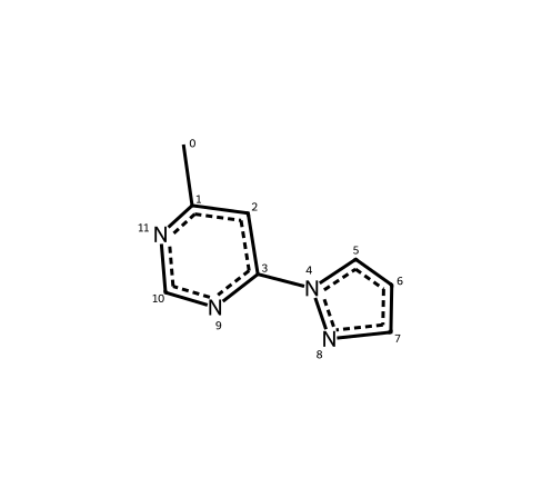 Cc1cc(-n2cccn2)ncn1